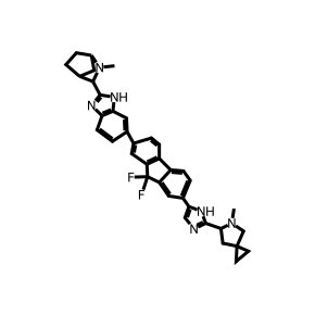 CN1CC2(CC2)CC1c1ncc(-c2ccc3c(c2)C(F)(F)c2cc(-c4ccc5nc(C6C7CCC(C7)N6C)[nH]c5c4)ccc2-3)[nH]1